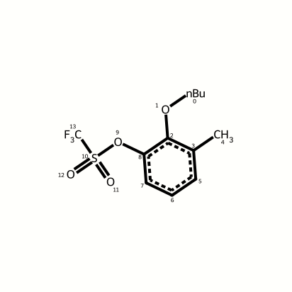 CCCCOc1c(C)cccc1OS(=O)(=O)C(F)(F)F